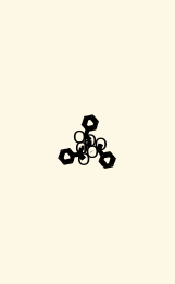 O=C(OP(OC(=O)c1ccccc1)OC(=O)c1ccccc1)c1ccccc1